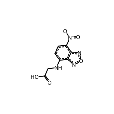 O=C(O)CNc1ccc([N+](=O)[O-])c2nonc12